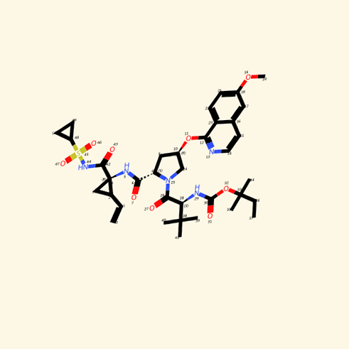 C=CC1C[C@]1(NC(=O)[C@@H]1C[C@@H](Oc2nccc3cc(OC)ccc23)CN1C(=O)[C@@H](NC(=O)OC(C)(C)CC)C(C)(C)C)C(=O)NS(=O)(=O)C1CC1